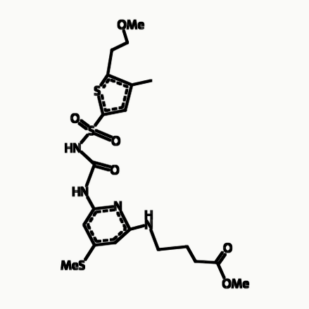 COCCc1sc(S(=O)(=O)NC(=O)Nc2cc(SC)cc(NCCCC(=O)OC)n2)cc1C